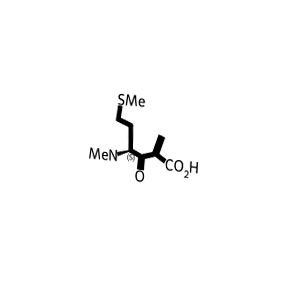 C=C(C(=O)O)C(=O)[C@H](CCSC)NC